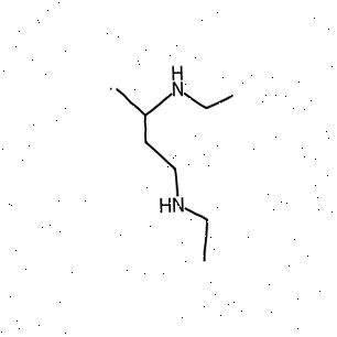 [CH2]C(CCNCC)NCC